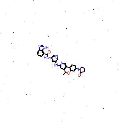 CC1Oc2cc(N3CCCC3=O)ccc2-c2cnc(Nc3cncc(NC(=O)c4cccc5nc[nH]c45)c3)cc21